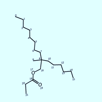 CCCCCCCCC(C)(CCCCCC)COC(=O)CC